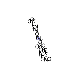 Cc1cc(N2C(=O)c3ccc(C(c4ccc5c(c4)C(=O)N(C)C5=O)(C(F)(F)F)C(F)(F)F)cc3C2=O)ccc1/N=N/c1ccc(/N=N/c2nc3ccc([N+](=O)[O-])cc3s2)cc1